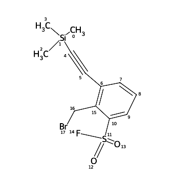 C[Si](C)(C)C#Cc1cccc(S(=O)(=O)F)c1CBr